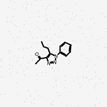 CCCc1c(C(C)=O)nnn1-c1ccccc1